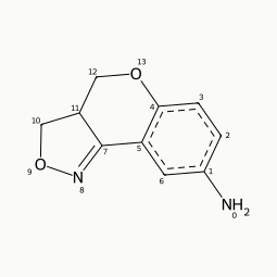 Nc1ccc2c(c1)C1=NOCC1CO2